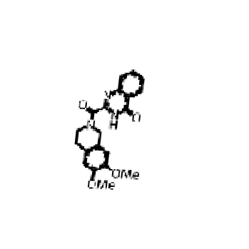 COc1cc2c(cc1OC)CN(C(=O)c1nc3ccccc3c(=O)[nH]1)CC2